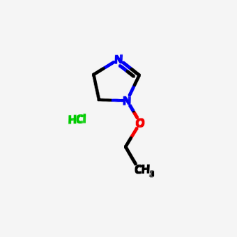 CCON1C=NCC1.Cl